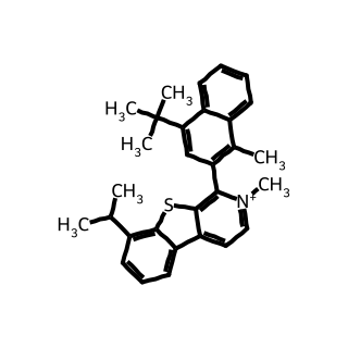 Cc1c(-c2c3sc4c(C(C)C)cccc4c3cc[n+]2C)cc(C(C)(C)C)c2ccccc12